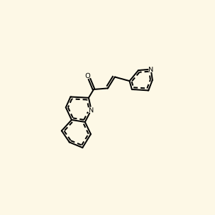 O=C(C=Cc1cccnc1)c1ccc2ccccc2n1